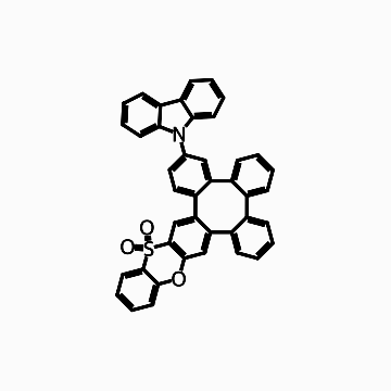 O=S1(=O)c2ccccc2Oc2cc3c(cc21)-c1ccc(-n2c4ccccc4c4ccccc42)cc1-c1ccccc1-c1ccccc1-3